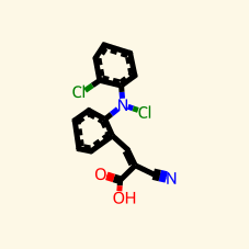 N#CC(=Cc1ccccc1N(Cl)c1ccccc1Cl)C(=O)O